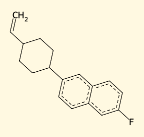 C=CC1CCC(c2ccc3cc(F)ccc3c2)CC1